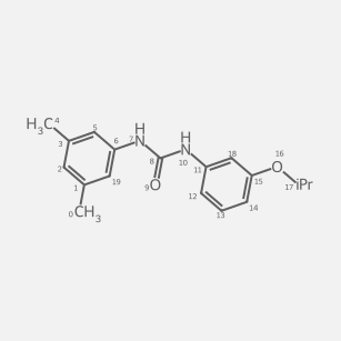 Cc1cc(C)cc(NC(=O)Nc2cccc(OC(C)C)c2)c1